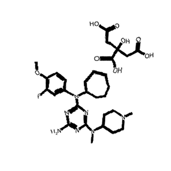 COc1ccc(N(c2nc(N)nc(N(C)C3CCN(C)CC3)n2)C2CCCCCC2)cc1F.O=C(O)CC(O)(CC(=O)O)C(=O)O